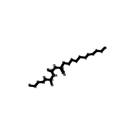 CCCCCCCCCCCC(=O)OC(C)OC(C)OCCCC